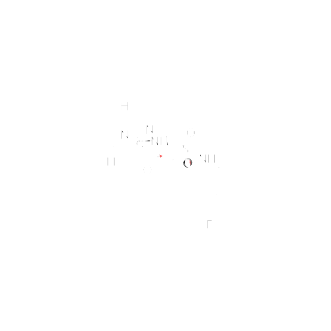 CC(C)(Oc1ccc(F)c(F)c1)C(=O)N[C@H]1C[C@H]2CC[C@@H](C1)N2c1ccc(S(N)(=O)=O)cn1